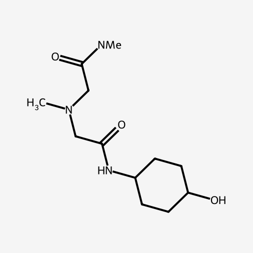 CNC(=O)CN(C)CC(=O)NC1CCC(O)CC1